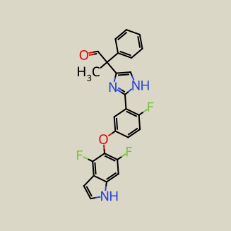 CC(C=O)(c1ccccc1)c1c[nH]c(-c2cc(Oc3c(F)cc4[nH]ccc4c3F)ccc2F)n1